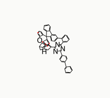 c1ccc(-c2ccc(-c3nc(-c4ccccc4-c4ccc5c(c4)-c4ccccc4C54c5ccccc5Oc5ccccc54)nc(C45CC6CC7CC6(C4)[C@@H]7C5)n3)cc2)cc1